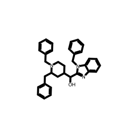 OC(c1nc2ccccc2n1Cc1ccccc1)C1CCN(Cc2ccccc2)C(Cc2ccccc2)C1